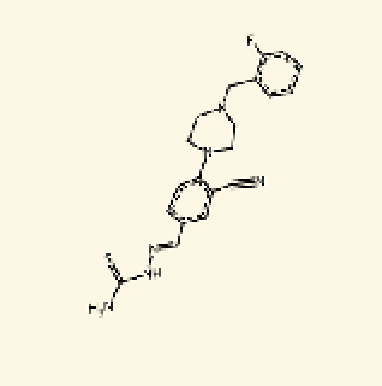 N#Cc1cc(C=NNC(N)=S)ccc1N1CCN(Cc2ccccc2F)CC1